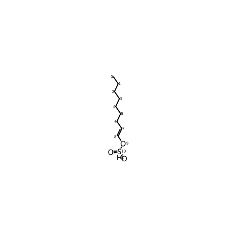 CCCCCCCC=CO[SH](=O)=O